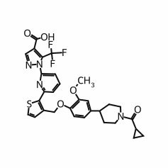 COc1cc(C2CCN(C(=O)C3CC3)CC2)ccc1OCc1ccsc1-c1cccc(-n2ncc(C(=O)O)c2C(F)(F)F)n1